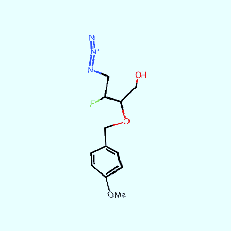 COc1ccc(COC(CO)C(F)CN=[N+]=[N-])cc1